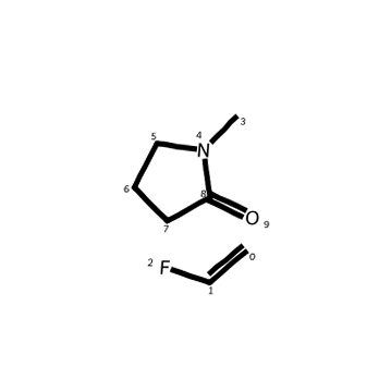 C=CF.CN1CCCC1=O